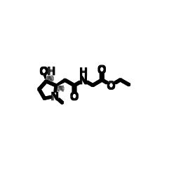 CCOC(=O)CNC(=O)C[C@@H]1[C@@H](O)CCN1C